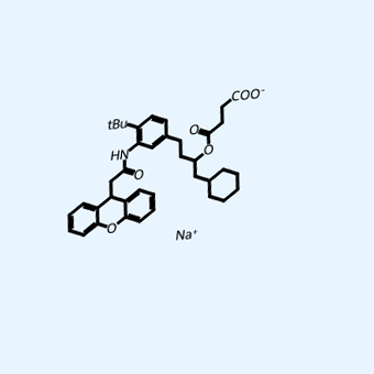 CC(C)(C)c1ccc(CCC(CC2CCCCC2)OC(=O)CCC(=O)[O-])cc1NC(=O)CC1c2ccccc2Oc2ccccc21.[Na+]